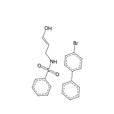 Brc1ccc(-c2ccccc2)cc1.O=S(=O)(NCC=CO)c1ccccc1